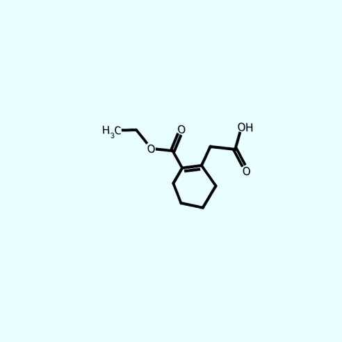 CCOC(=O)C1=C(CC(=O)O)CCCC1